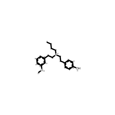 CCCCN(CCc1ccc(O)cc1)CCc1cccc(OC)c1